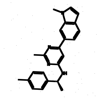 Cc1ccc([C@H](C)Nc2cc(-c3ccc4ccn(C)c4c3)nc(C)n2)cc1